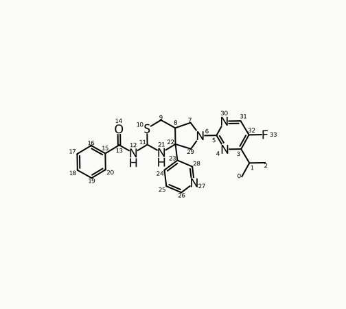 CC(C)c1nc(N2CC3CSC(NC(=O)c4ccccc4)NC3(c3cccnc3)C2)ncc1F